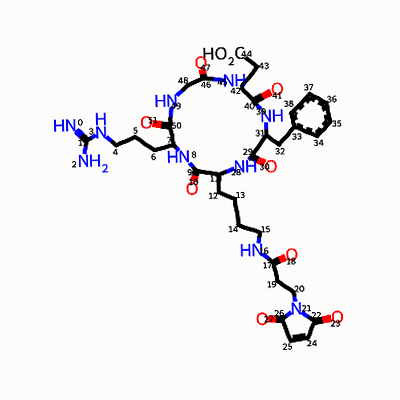 N=C(N)NCCCC1NC(=O)C(CCCCNC(=O)CCN2C(=O)C=CC2=O)NC(=O)C(Cc2ccccc2)NC(=O)C(CC(=O)O)NC(=O)CNC1=O